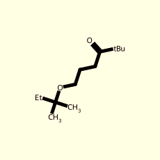 CCC(C)(C)OCCCC(=O)C(C)(C)C